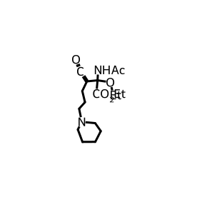 CCOC(=O)C(NC(C)=O)(OCC)C(=C=O)CCCN1CCCCC1